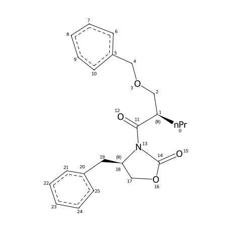 CCC[C@H](COCc1ccccc1)C(=O)N1C(=O)OC[C@H]1Cc1ccccc1